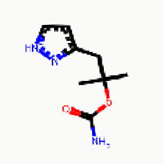 CC(C)(Cc1cc[nH]n1)OC(N)=O